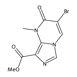 COC(=O)c1ncn2cc(Br)c(=O)n(C)c12